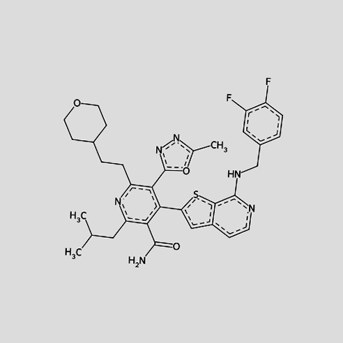 Cc1nnc(-c2c(CCC3CCOCC3)nc(CC(C)C)c(C(N)=O)c2-c2cc3ccnc(NCc4ccc(F)c(F)c4)c3s2)o1